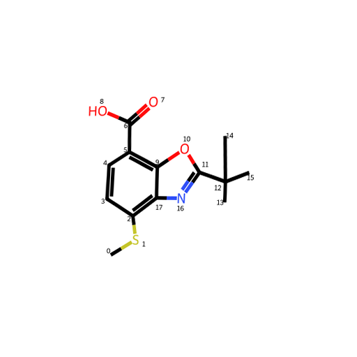 CSc1ccc(C(=O)O)c2oc(C(C)(C)C)nc12